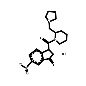 Cl.O=C1CC(C(=O)N2CCCCC2CN2CCCC2)c2ccc([N+](=O)[O-])cc21